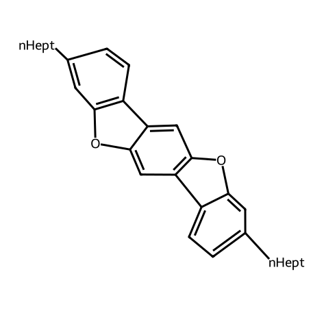 CCCCCCCc1ccc2c(c1)oc1cc3c(cc12)oc1cc(CCCCCCC)ccc13